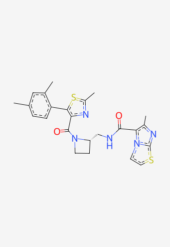 Cc1ccc(-c2sc(C)nc2C(=O)N2CC[C@H]2CNC(=O)c2c(C)nc3sccn23)c(C)c1